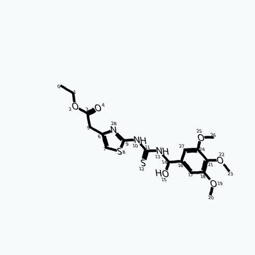 CCOC(=O)Cc1csc(NC(=S)NC(O)c2cc(OC)c(OC)c(OC)c2)n1